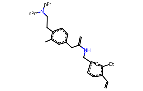 C=Cc1ccc(CNC(=C)Cc2ccc(CCN(CCC)CCC)c(C)c2)cc1CC